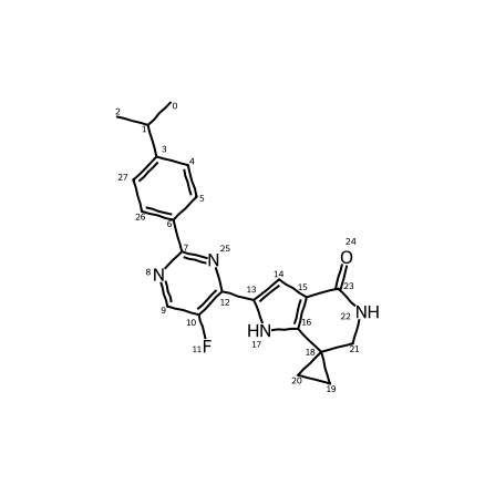 CC(C)c1ccc(-c2ncc(F)c(-c3cc4c([nH]3)C3(CC3)CNC4=O)n2)cc1